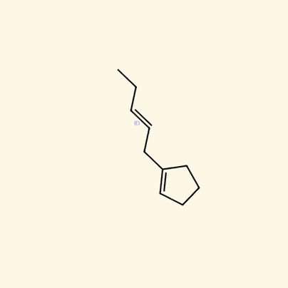 CC/C=C/CC1=CCCC1